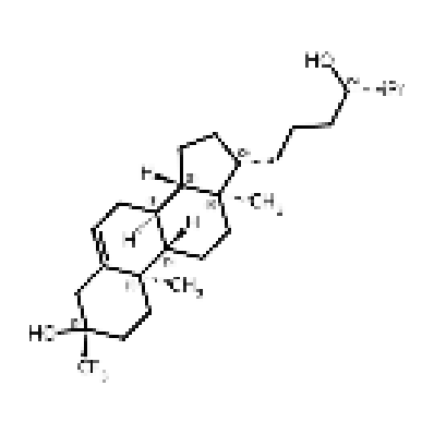 CC(C)[C@@H](O)CCC[C@H]1CC[C@H]2[C@@H]3CC=C4C[C@](O)(C(F)(F)F)CC[C@]4(C)[C@H]3CC[C@]12C